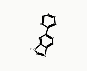 [c]1nc2ccc(-c3ccccc3)cc2o1